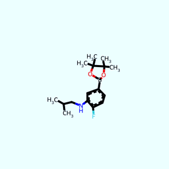 CC(C)CNc1cc(B2OC(C)(C)C(C)(C)O2)ccc1F